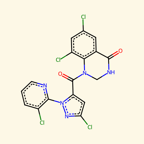 O=C1NCN(C(=O)c2cc(Cl)nn2-c2ncccc2Cl)c2c(Cl)cc(Cl)cc21